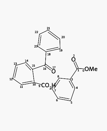 COC(=O)c1ccccc1.O=C(O)c1ccccc1C(=O)c1ccccc1